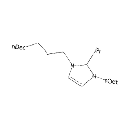 CCCCCCCCCCCCCN1C=CN(CCCCCCCC)C1C(C)C